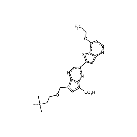 C[Si](C)(C)CCOCn1cc(C(=O)O)c2nc(-c3cc4nccc(OCC(F)(F)F)c4s3)cnc21